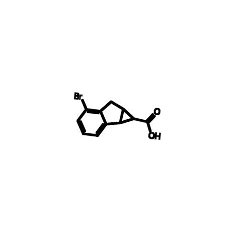 O=C(O)C1C2Cc3c(Br)cccc3C21